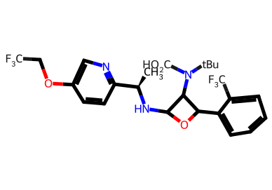 C[C@@H](NC1OC(c2ccccc2C(F)(F)F)C1N(C(=O)O)C(C)(C)C)c1ccc(OCC(F)(F)F)cn1